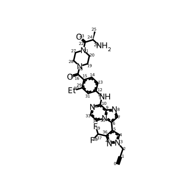 C#CCn1cc(-c2cnc3c(Nc4ccc(C(=O)N5CCN(C(=O)[C@@H](C)N)CC5)c(CC)c4)nccn23)c(C(F)F)n1